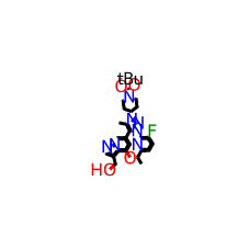 Cc1c(-c2cc(OC(C)c3ccc(F)cn3)c3c(CO)cnn3c2)nnn1C1CCN(C(=O)OC(C)(C)C)CC1